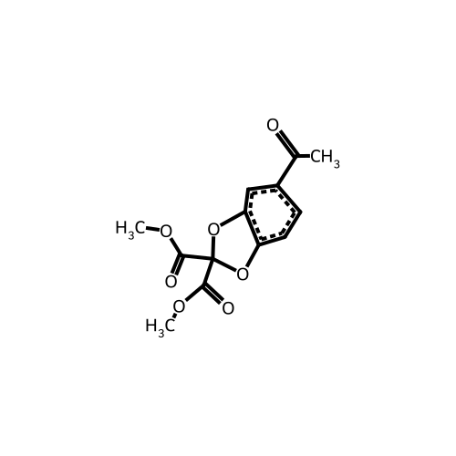 COC(=O)C1(C(=O)OC)Oc2ccc(C(C)=O)cc2O1